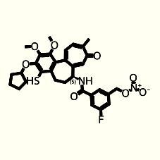 COc1c(OC2CCCC2)c(S)c2c(c1OC)-c1ccc(C)c(=O)cc1[C@@H](NC(=O)c1cc(F)cc(CO[N+](=O)[O-])c1)CC2